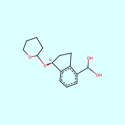 OB(O)c1cccc2c1CC[C@@H]2OC1CCCCO1